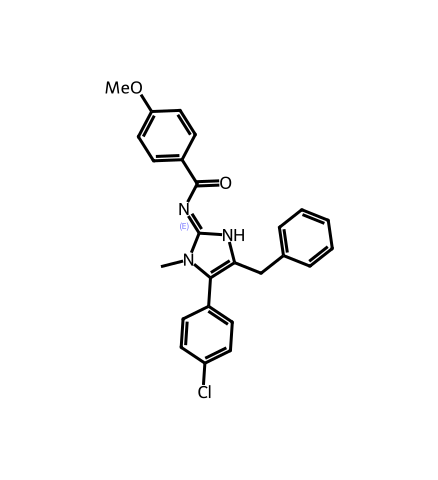 COc1ccc(C(=O)/N=c2\[nH]c(Cc3ccccc3)c(-c3ccc(Cl)cc3)n2C)cc1